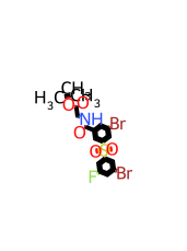 CC(C)(C)OC(=O)CNC(=O)c1cc(Br)cc(S(=O)(=O)c2cc(F)cc(Br)c2)c1